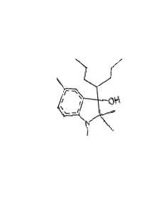 CCCC(CCC)C1(O)c2cc(C)ccc2N(C)C1(C)C